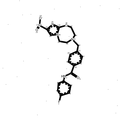 O=C(Nc1ccc(F)cc1)c1ccc(CN2CCOc3nc([N+](=O)[O-])cn3CC2)cc1